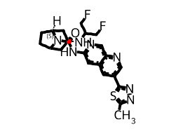 Cc1nnc(-c2cnc3cnc(NC(=O)N4C5CC[C@H]4C[C@H](NC(CF)CF)C5)cc3c2)s1